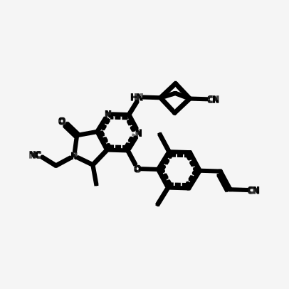 Cc1cc(/C=C/C#N)cc(C)c1Oc1nc(NC23CC(C#N)(C2)C3)nc2c1C(C)N(CC#N)C2=O